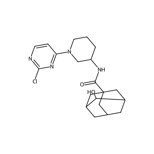 O=C(NC1CCCN(c2ccnc(Cl)n2)C1)C12CC3CC(C1)C(O)C(C3)C2